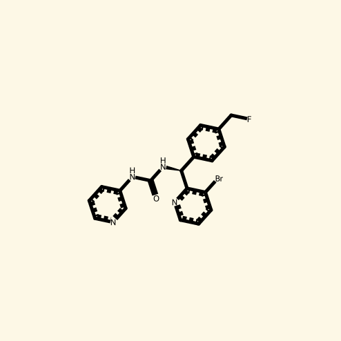 O=C(Nc1cccnc1)N[C@@H](c1ccc(CF)cc1)c1ncccc1Br